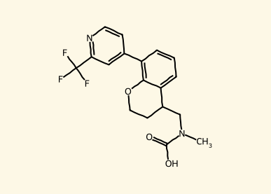 CN(CC1CCOc2c(-c3ccnc(C(F)(F)F)c3)cccc21)C(=O)O